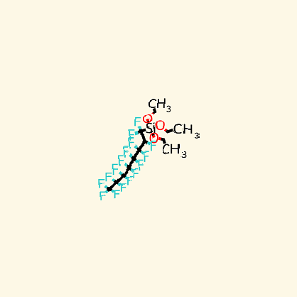 CCO[Si](OCC)(OCC)C(F)(F)C(F)C(F)(F)C(F)(F)C(F)(F)C(F)(F)C(F)(F)C(F)(F)F